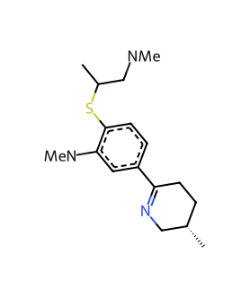 CNCC(C)Sc1ccc(C2=NC[C@@H](C)CC2)cc1NC